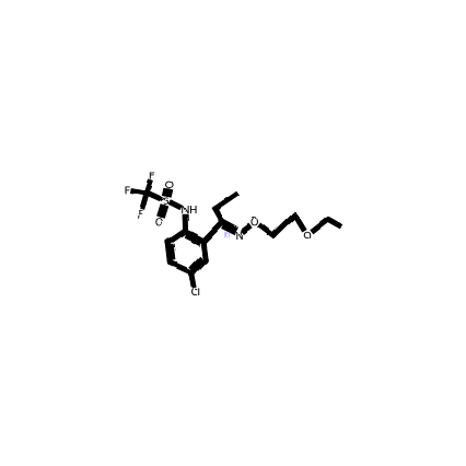 CCOCCO/N=C(\CC)c1cc(Cl)ccc1NS(=O)(=O)C(F)(F)F